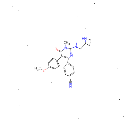 COc1ccc(-c2c(-c3ccc(C#N)cc3)nc(NCC3CCN3)n(C)c2=O)cc1